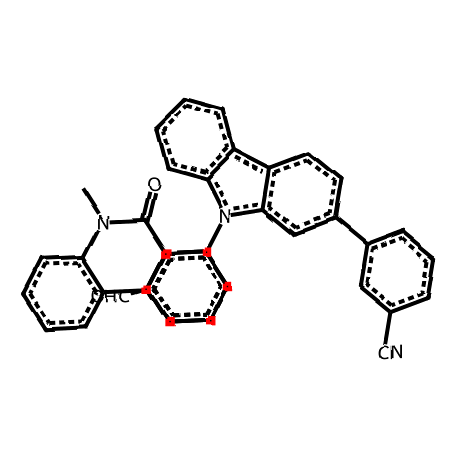 CN(C(=O)c1c(C=O)cccc1-n1c2ccccc2c2ccc(-c3cccc(C#N)c3)cc21)c1ccccc1-c1ccccc1